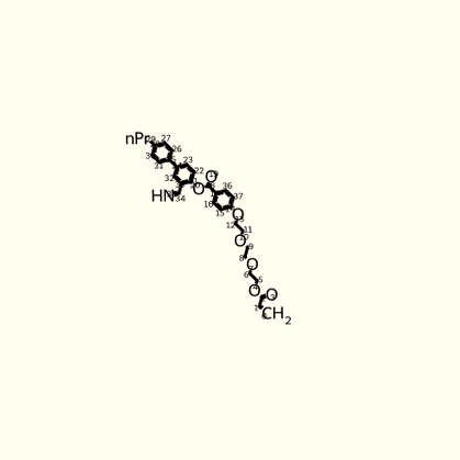 C=CC(=O)OCCOCCOCCOc1ccc(C(=O)Oc2ccc(-c3ccc(CCC)cc3)cc2C=N)cc1